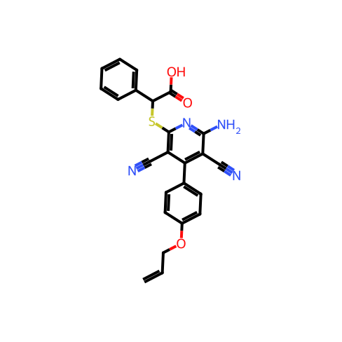 C=CCOc1ccc(-c2c(C#N)c(N)nc(SC(C(=O)O)c3ccccc3)c2C#N)cc1